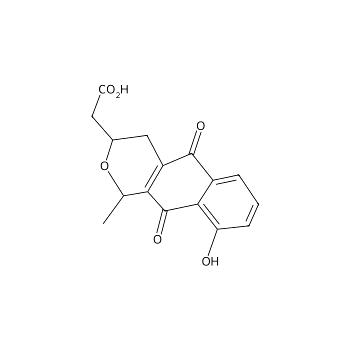 CC1OC(CC(=O)O)CC2=C1C(=O)c1c(O)cccc1C2=O